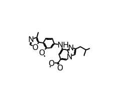 COC(=O)c1cc(Nc2ccc(-c3ocnc3C)c(OC)c2)c2nc(CC(C)C)cn2c1